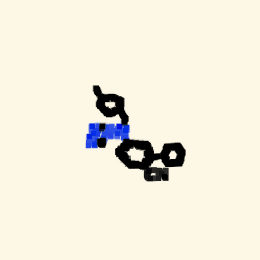 Cc1ccc(CN(c2ccc(C#N)c(-c3ccccc3)c2)n2cnnc2)cc1